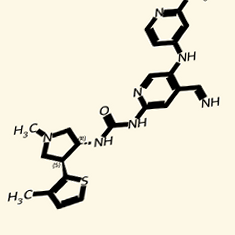 Cc1cc(Nc2cnc(NC(=O)N[C@H]3CN(C)C[C@@H]3c3sccc3C)cc2C=N)ccn1